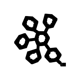 Oc1ccc(-c2cc(-c3ccccc3)c(-c3ccccc3)c(-c3ccccc3)c2-c2ccccc2)cc1